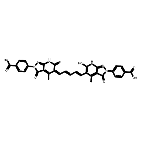 Cc1c(C=CC=CC=c2c(C)c3c([nH]c2=O)=NN(c2ccc(C(=O)O)cc2)C3=O)c(O)[nH]c2nn(-c3ccc(C(=O)O)cc3)c(=O)c1-2